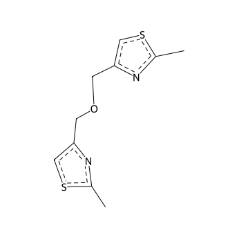 Cc1nc(COCc2csc(C)n2)cs1